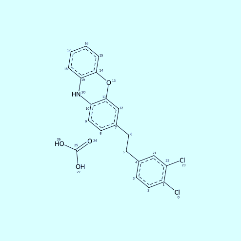 Clc1ccc(CCc2ccc3c(c2)Oc2ccccc2N3)cc1Cl.O=C(O)O